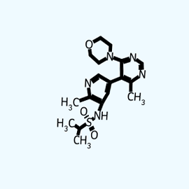 Cc1ncc(-c2c(C)ncnc2N2CCOCC2)cc1NS(=O)(=O)C(C)C